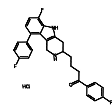 Cl.O=C(CCCC1Cc2[nH]c3c(F)ccc(-c4ccc(F)cc4)c3c2CN1)c1ccc(F)cc1